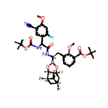 COc1cc(F)c(C(NC(=O)OC(C)(C)C)C(=O)N[C@@H](Cc2cccc(C(=O)OC(C)(C)C)c2OC)B2O[C@@H]3C[C@@H]4C[C@@H](C4(C)C)[C@]3(C)O2)cc1C#N